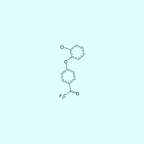 O=C(c1ccc(Oc2ccccc2Cl)cc1)C(F)(F)F